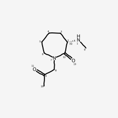 CN[C@H]1CCCCN(CC(C)=O)C1=O